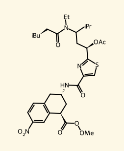 CC[C@H](C)CC(=O)N(CC)C(C[C@@H](OC(C)=O)c1nc(C(=O)N[C@H]2Cc3ccc([N+](=O)[O-])cc3[C@H](C(=O)OOC)C2)cs1)C(C)C